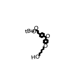 CC(C)(C)OC(=O)C=Cc1ccc(C(=O)c2ccc(OCCCCCCO)cc2)cc1